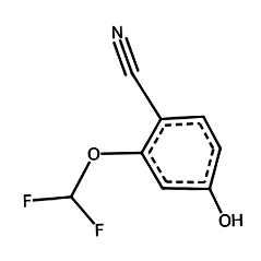 N#Cc1ccc(O)cc1OC(F)F